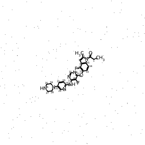 CCC(=O)n1c(C)cc2c(F)c(Oc3ncnc(Nc4ccc(N5CCNCC5)cn4)c3F)ccc21